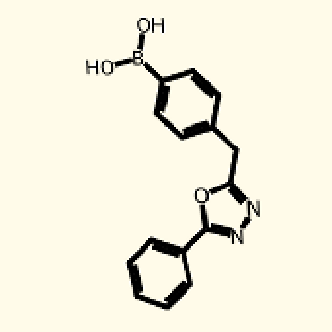 OB(O)c1ccc(Cc2nnc(-c3ccccc3)o2)cc1